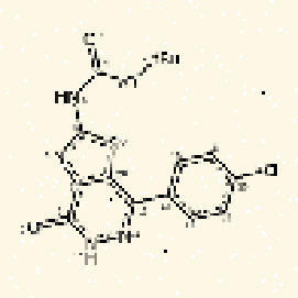 CC(C)(C)OC(=O)Nc1nc2c(=O)[nH]nc(-c3ccc(Cl)cc3)c2s1